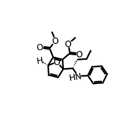 CCC[C@H](Nc1ccccc1)C12C=C[C@H](O1)C(C(=O)OC)=C2C(=O)OC